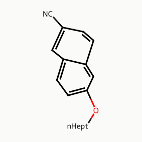 CCCCCCCOc1ccc2cc(C#N)ccc2c1